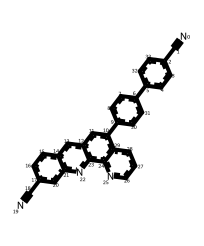 N#Cc1ccc(-c2ccc(-c3cc4cc5ccc(C#N)cc5nc4c4ncccc34)cc2)cc1